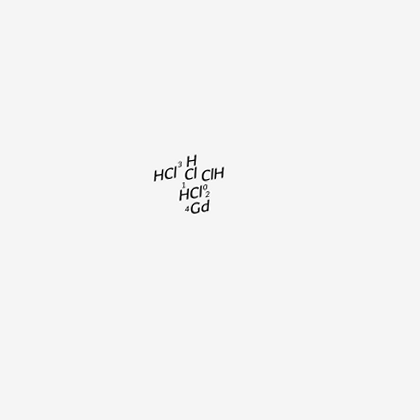 Cl.Cl.Cl.Cl.[Gd]